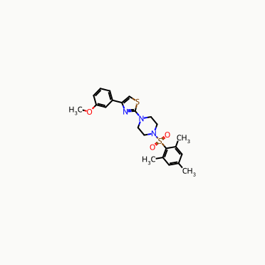 COc1cccc(-c2csc(N3CCN(S(=O)(=O)c4c(C)cc(C)cc4C)CC3)n2)c1